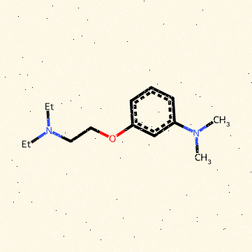 CCN(CC)CCOc1cccc(N(C)C)c1